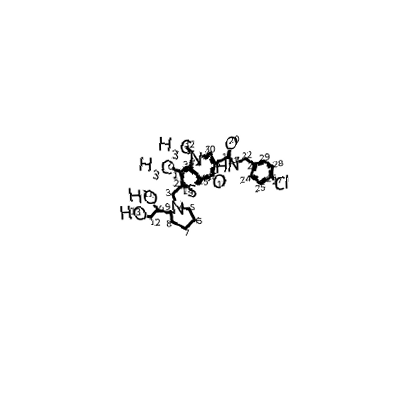 Cc1c(CN2CCCCC2C(O)CO)sc2c(=O)c(C(=O)NCc3ccc(Cl)cc3)cn(C)c12